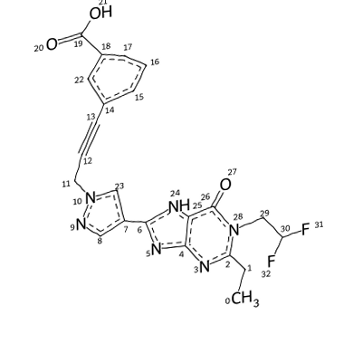 CCc1nc2nc(-c3cnn(CC#Cc4cccc(C(=O)O)c4)c3)[nH]c2c(=O)n1CC(F)F